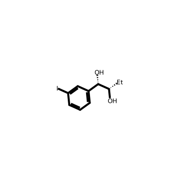 CC[C@H](O)[C@@H](O)c1cccc(I)c1